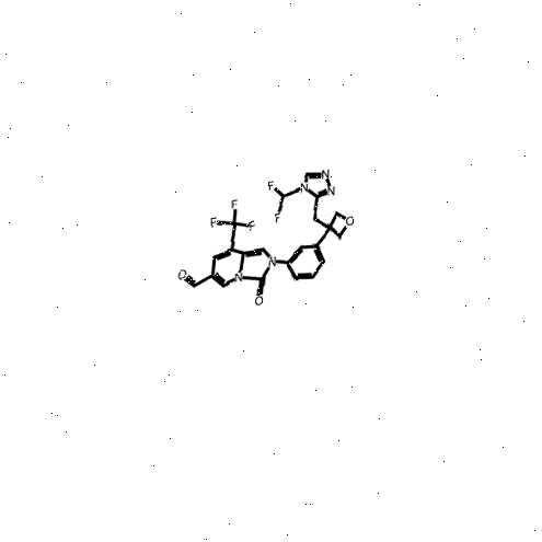 O=Cc1cc(C(F)(F)F)c2cn(-c3cccc(C4(Cc5nncn5C(F)F)COC4)c3)c(=O)n2c1